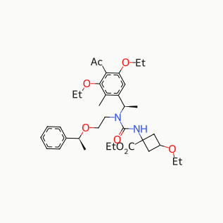 CCOC(=O)C1(NC(=O)N(CCO[C@@H](C)c2ccccc2)[C@H](C)c2cc(OCC)c(C(C)=O)c(OCC)c2C)CC(OCC)C1